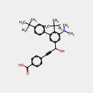 CN(C)c1cc(C(O)C#Cc2ccc(C(=O)O)cc2)cc(-c2ccc(C(C)(C)C)cc2)c1C(C)(C)C